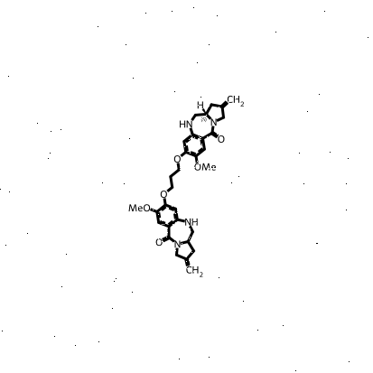 C=C1CC2CNc3cc(OCCCOc4cc5c(cc4OC)C(=O)N4CC(=C)C[C@H]4CN5)c(OC)cc3C(=O)N2C1